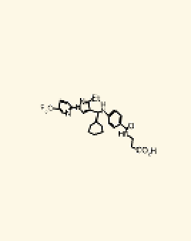 CCc1nn(-c2ccc(C(F)(F)F)cn2)cc1C(Nc1ccc(C(=O)NCCC(=O)O)cc1)C1CCCCC1